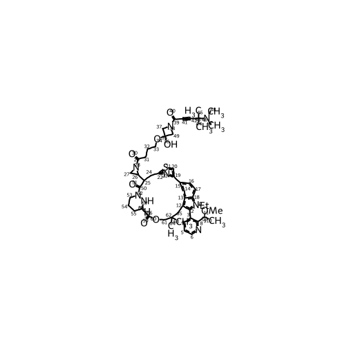 CCn1c(-c2cccnc2[C@H](C)OC)c2c3cc(ccc31)-c1csc(n1)CC(C1CN1C(=O)CCCOC1(O)CN(C(=O)C#CC(C)(C)N(C)C)C1)C(=O)N1CCC[C@H](N1)C(=O)OCC(C)(C)C2